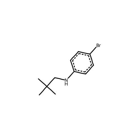 CC(C)(C)CNc1ccc(Br)cc1